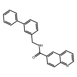 O=C(NCc1cccc(-c2ccccc2)c1)c1ccc2ncccc2c1